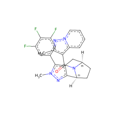 Cc1nn2ccccc2c1C(=O)N1[C@@H]2CC[C@H]1c1nn(C)c(-c3cc(F)c(F)c(F)c3)c1C2